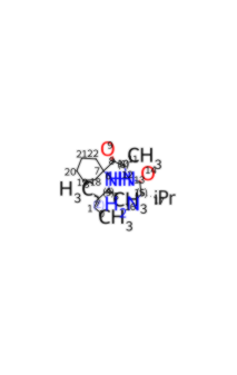 C/C=C(/C)[C@H](C)NC1(C(=O)[C@H](C)NC(=O)[C@@H](N)C(C)C)CCCCC1